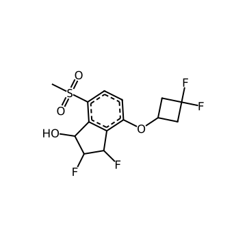 CS(=O)(=O)c1ccc(OC2CC(F)(F)C2)c2c1C(O)C(F)C2F